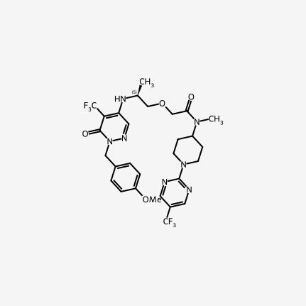 COc1ccc(Cn2ncc(N[C@@H](C)COCC(=O)N(C)C3CCN(c4ncc(C(F)(F)F)cn4)CC3)c(C(F)(F)F)c2=O)cc1